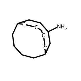 NC1CCC2CCCCCC(CCCC2)C1